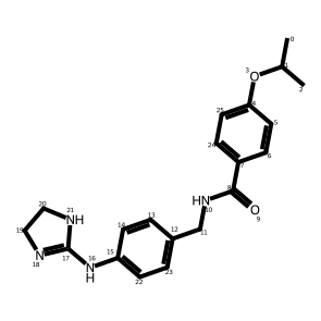 CC(C)Oc1ccc(C(=O)NCc2ccc(NC3=NCCN3)cc2)cc1